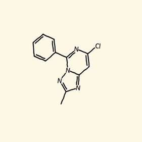 Cc1nc2cc(Cl)nc(-c3ccccc3)n2n1